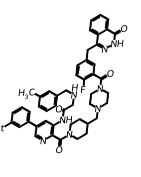 CCc1cccc(-c2cnc(C(=O)N3CCC(CN4CCN(C(=O)c5cc(Cc6n[nH]c(=O)c7ccccc67)ccc5F)CC4)CC3)c(NC(=O)CNCc3cccc(C)c3)c2)c1